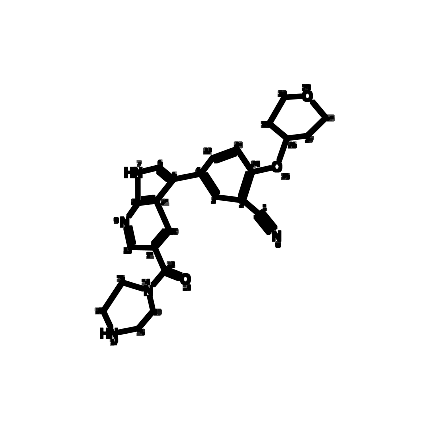 N#Cc1cc(-c2c[nH]c3ncc(C(=O)N4CCNCC4)cc23)ccc1OC1CCOCC1